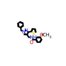 COc1cccc(C(=O)NCc2cn(Cc3ccccc3)nc2-c2cccs2)c1